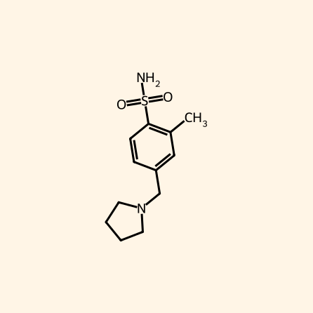 Cc1cc(CN2CCCC2)ccc1S(N)(=O)=O